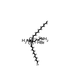 Br.CCCCCCCCCCCCOC(N)(OCCCCCCCCCCCC)C(C)(C)CCCCN